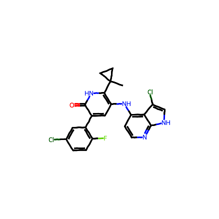 CC1(c2[nH]c(=O)c(-c3cc(Cl)ccc3F)cc2Nc2ccnc3[nH]cc(Cl)c23)CC1